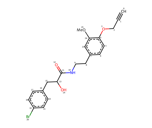 C#CCOc1ccc(CCNC(=O)C(O)Cc2ccc(Br)cc2)cc1OC